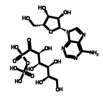 Nc1ncnc2c1ncn2[C@@H]1O[C@H](CO)[C@@H](O)[C@H]1O.O=C([C@H](O)[C@@H](O)[C@H](O)[C@H](O)CO)P(=O)(O)OP(=O)(O)O